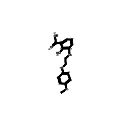 COc1ccc(OCCOc2cccc(C(=O)O)c2O)cc1